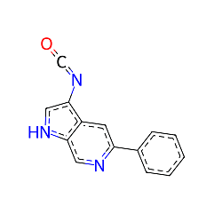 O=C=Nc1c[nH]c2cnc(-c3ccccc3)cc12